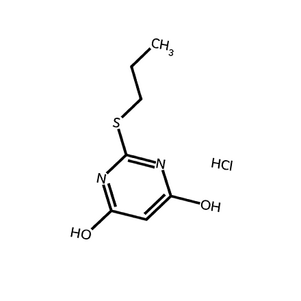 CCCSc1nc(O)cc(O)n1.Cl